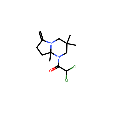 C=C1CCC2(C)N1CC(C)(C)CN2C(=O)C(Cl)Cl